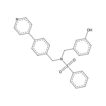 O=S(=O)(c1ccccc1)N(Cc1ccc(-c2ccncc2)cc1)Cc1cccc(O)c1